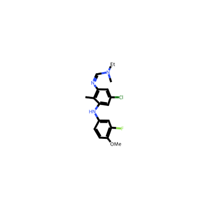 CCN(C)/C=N\c1cc(Cl)cc(Nc2ccc(OC)c(F)c2)c1C